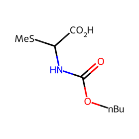 CCCCOC(=O)NC(SC)C(=O)O